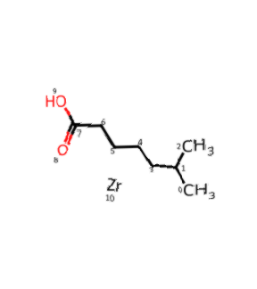 CC(C)CCCCC(=O)O.[Zr]